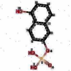 O=P(O)(O)Oc1ccc2c(O)cccc2c1